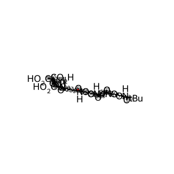 CC(C)(C)CC(=O)NCCOCCOCCNC(=O)c1ccc(C(=O)NCCOCCOCCNC(=O)CCCCCCCNC(=O)CC[C@H](NC(=O)N[C@@H](CCC(=O)O)C(=O)O)C(=O)O)cc1